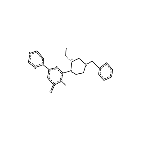 CC[C@@H]1CN(Cc2ccccc2)CCN1c1nc(-c2ccncn2)cc(=O)n1C